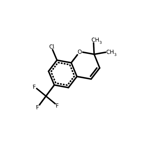 CC1(C)C=Cc2cc(C(F)(F)F)cc(Cl)c2O1